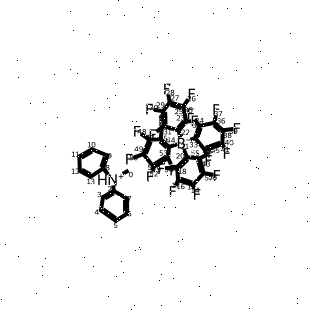 C[NH+](c1ccccc1)c1ccccc1.Fc1c(F)c(F)c([B-](c2c(F)c(F)c(F)c(F)c2F)(c2c(F)c(F)c(F)c(F)c2F)c2c(F)c(F)c(F)c(F)c2F)c(F)c1F